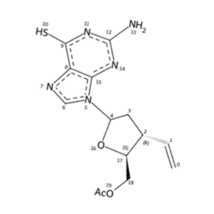 C=C[C@H]1CC(n2cnc3c(S)nc(N)nc32)O[C@@H]1COC(C)=O